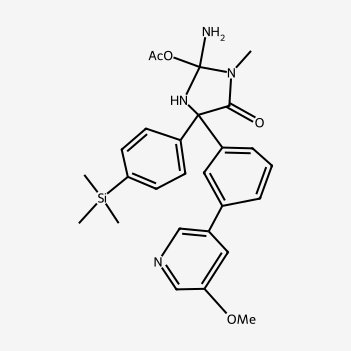 COc1cncc(-c2cccc(C3(c4ccc([Si](C)(C)C)cc4)NC(N)(OC(C)=O)N(C)C3=O)c2)c1